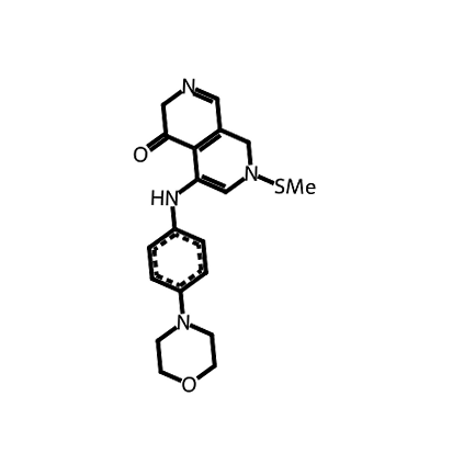 CSN1C=C(Nc2ccc(N3CCOCC3)cc2)C2=C(C=NCC2=O)C1